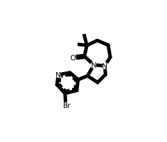 CC1(C)CCCN2CCC(c3cncc(Br)c3)N2C1=O